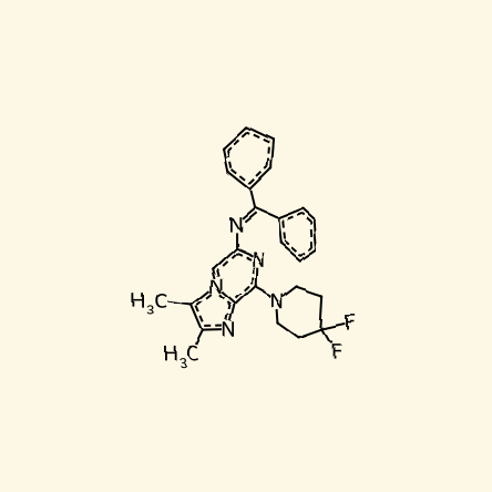 Cc1nc2c(N3CCC(F)(F)CC3)nc(N=C(c3ccccc3)c3ccccc3)cn2c1C